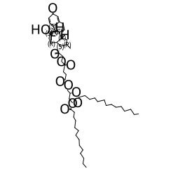 CCCCCCCCCCCCCC(=O)OCC(COC(=O)CCC(=O)OCC(=O)[C@@H]1C2[C@H](C)C[C@H](O)[C@@]3(F)[C@@H](CCC4=CC(=O)C=C[C@@]43C)[C@@H]2C[C@H]1C)OC(=O)CCCCCCCCCCCCC